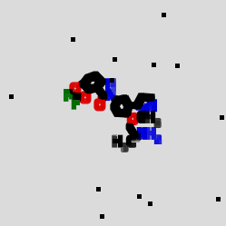 C[C@@H](N)COc1ccc(NC(=O)c2cccc3c2OC(F)(F)O3)cc1-c1ccnn1C